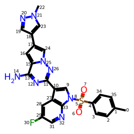 Cc1ccc(S(=O)(=O)n2cc(-c3nc(N)c4cc(-c5cnn(C)c5)cn4n3)c3cc(F)cnc32)cc1